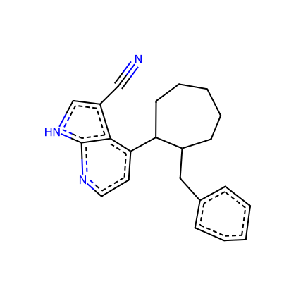 N#Cc1c[nH]c2nccc(C3CCCCCC3Cc3ccccc3)c12